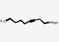 CCCCCCCCCC#CCCCCC(F)(F)F